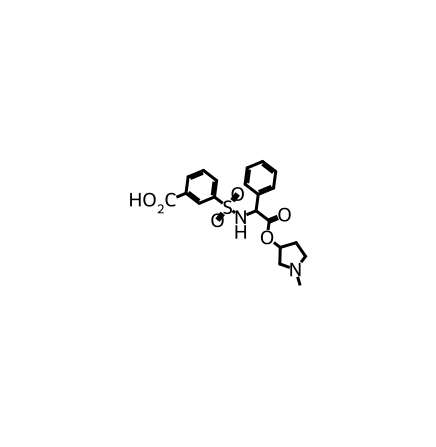 CN1CCC(OC(=O)C(NS(=O)(=O)c2cccc(C(=O)O)c2)c2ccccc2)C1